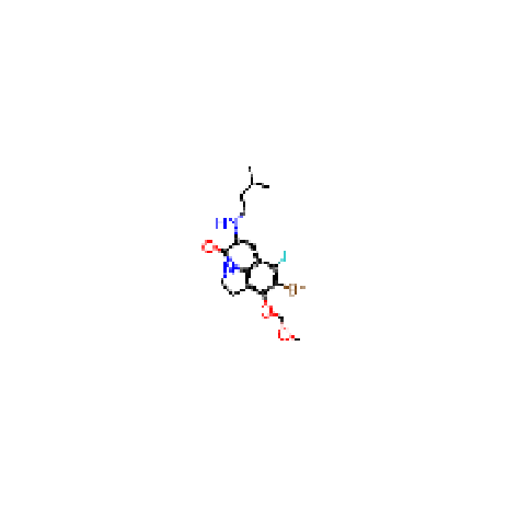 COCOc1c(Br)c(F)c2cc(NCCC(C)C)c(=O)n3c2c1CC3